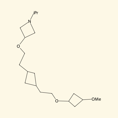 COC1CC(OCCC2CC(CCOC3CN(C(C)C)C3)C2)C1